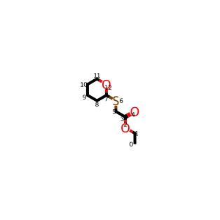 CCOC(=O)CSC1CCCCO1